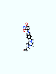 O=C1CCC(N2Cc3ccc(CN4CCN(CCCBr)CC4)cc3C2)C(=O)N1